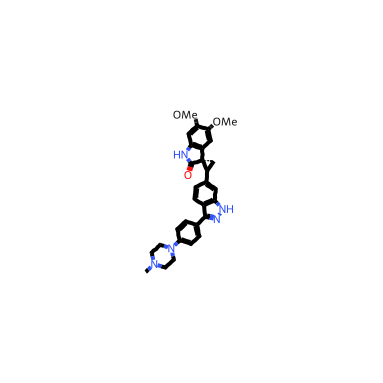 COc1cc2c(cc1OC)[C@]1(CC1c1ccc3c(-c4ccc(N5CCN(C)CC5)cc4)n[nH]c3c1)C(=O)N2